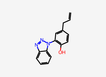 C=CCc1ccc(O)c(-n2nnc3ccccc32)c1